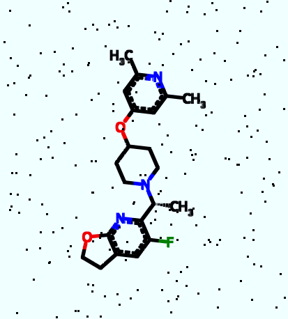 Cc1cc(OC2CCN([C@H](C)c3nc4c(cc3F)CCO4)CC2)cc(C)n1